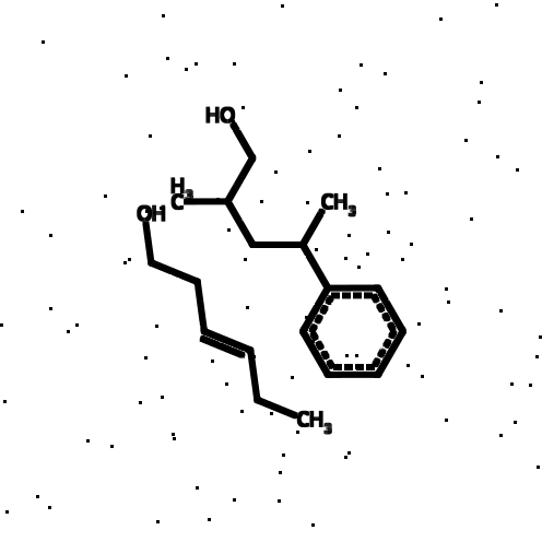 CC(CO)CC(C)c1ccccc1.CCC=CCCO